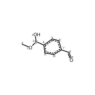 COB(O)c1ccc(C=O)cc1